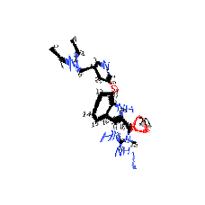 CCN(CC)Cc1cncc(Oc2cccc3cc(C(=O)N(C)C(=N)N)[nH]c23)c1